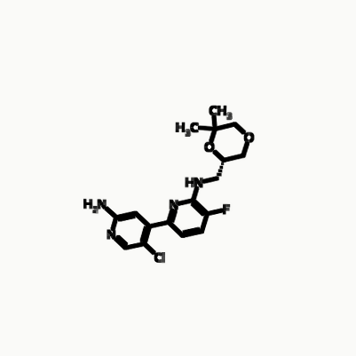 CC1(C)COC[C@H](CNc2nc(-c3cc(N)ncc3Cl)ccc2F)O1